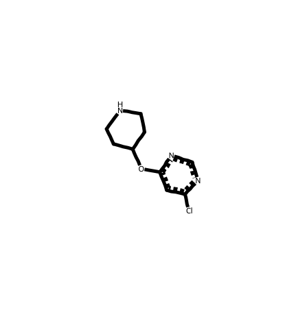 Clc1cc(OC2CCNCC2)ncn1